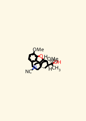 CCCCC(C)(O)[C@H]1C[C@@]23CC[C@]1(OC)[C@@H]1Oc4c(OC)ccc5c4C12CCN(C#N)C3C5